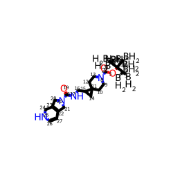 BC(B)(B)C(OC(=O)N1CCC2(CC1)CC2CNC(=O)N1CC2=C(CNC=C2)C1)(C(B)(B)B)C(B)(B)B